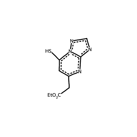 CCOC(=O)Cc1cc(S)n2ncnc2n1